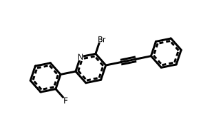 Fc1ccccc1-c1ccc(C#Cc2ccccc2)c(Br)n1